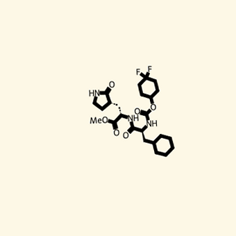 COC(=O)[C@H](C[C@@H]1CCNC1=O)NC(=O)[C@H](CC1CCCCC1)NC(=O)OC1CCC(F)(F)CC1